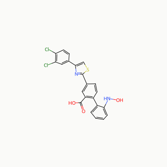 O=C(O)c1cc(-c2nc(-c3ccc(Cl)c(Cl)c3)cs2)ccc1-c1ccccc1NO